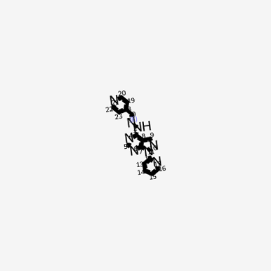 C(=N\Nc1ncnc2c1cnn2-c1ccccn1)/c1ccncc1